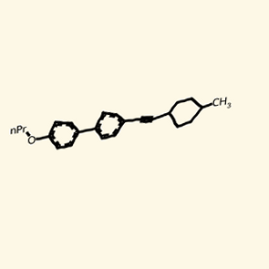 CCCOc1ccc(-c2ccc(C#CC3CCC(C)CC3)cc2)cc1